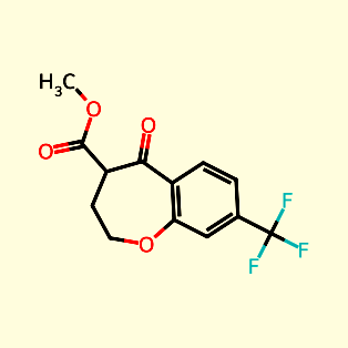 COC(=O)C1CCOc2cc(C(F)(F)F)ccc2C1=O